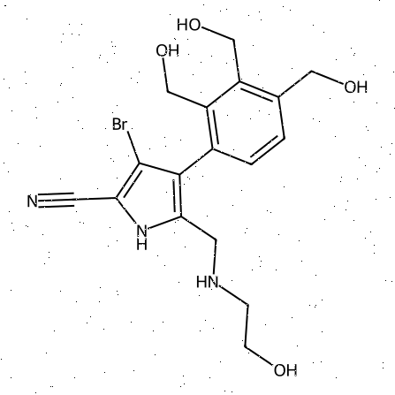 N#Cc1[nH]c(CNCCO)c(-c2ccc(CO)c(CO)c2CO)c1Br